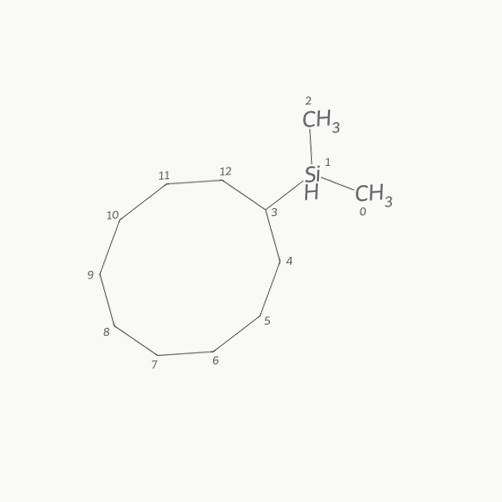 C[SiH](C)C1CCCCCCCCC1